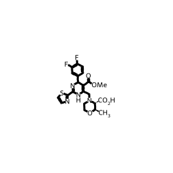 COC(=O)C1=C(CN2CCO[C@H](C)[C@H]2C(=O)O)NC(c2nccs2)=NC1c1ccc(F)c(F)c1